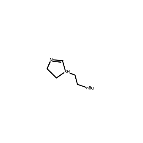 CCCCCC[SH]1[C]=NCC1